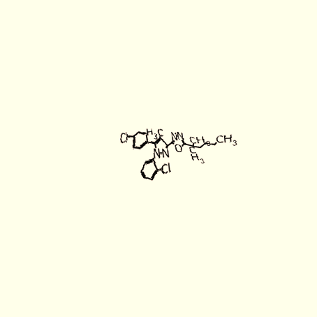 CCCCC(C)(C)c1nnc(-c2nn(-c3ccccc3Cl)c(-c3ccc(Cl)cc3)c2C)o1